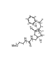 COCCNC(=S)NC[C@H]1C[C@@H]2CC[N@@]1C[C@@H]2CN(C)c1ccccc1